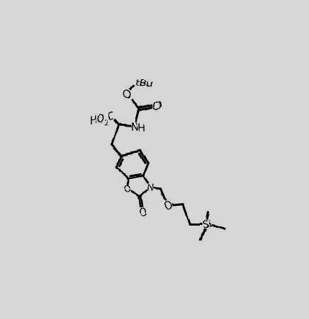 CC(C)(C)OC(=O)NC(Cc1ccc2c(c1)oc(=O)n2COCC[Si](C)(C)C)C(=O)O